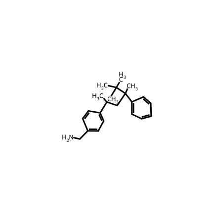 CC(CC(C)(c1ccccc1)C(C)(C)C)c1ccc(CN)cc1